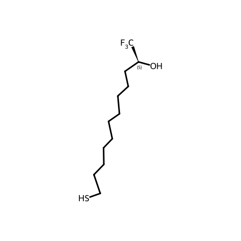 O[C@@H](CCCCCCCCCCS)C(F)(F)F